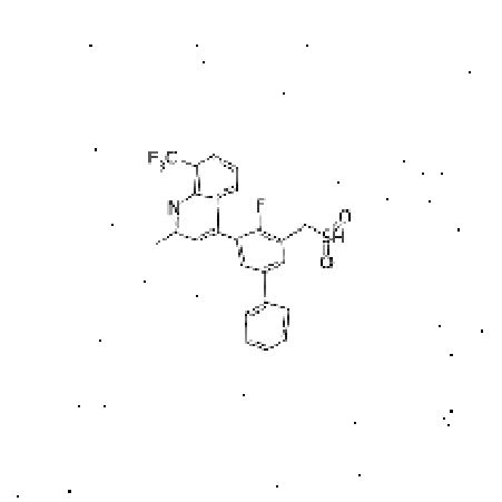 Cc1cc(-c2cc(-c3ccccc3)cc(C[SH](=O)=O)c2F)c2cccc(C(F)(F)F)c2n1